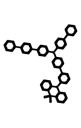 O=S1(=O)c2ccccc2N(c2cccc(-c3ccc(N(c4ccc(-c5ccccc5)cc4)c4ccc(-c5ccc(-c6ccccc6)cc5)cc4)cc3)c2)c2ccccc21